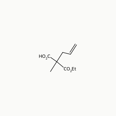 C=CCC(C)(C(=O)O)C(=O)OCC